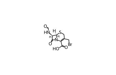 O=CN[C@@H]1C(=O)N2C(C(=O)O)=C(CBr)CS[C@H]12